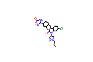 CCCn1cc(N2C(=O)C3(Cc4ccc(-c5noc(=O)[nH]5)cc4C3)c3ccc(Cl)cc32)cn1